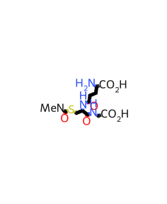 CNC(=O)SCC(NC(=O)CCC(N)C(=O)O)C(=O)NCC(=O)O